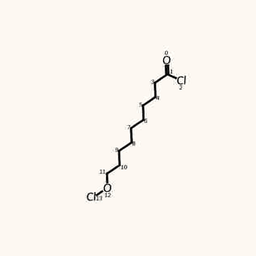 O=C(Cl)CCCCCCCCCOCl